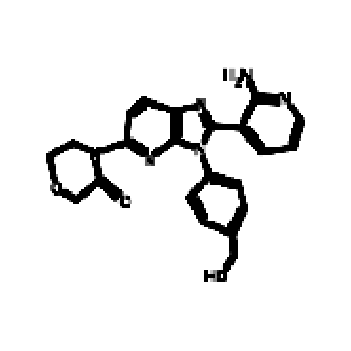 Nc1ncccc1-c1nc2ccc(N3CCOCC3=O)nc2n1-c1ccc(CO)cc1